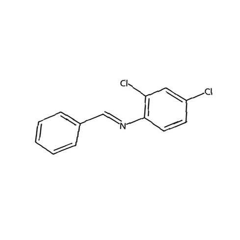 Clc1ccc(/N=C/c2ccccc2)c(Cl)c1